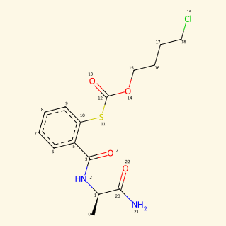 C[C@@H](NC(=O)c1ccccc1SC(=O)OCCCCCl)C(N)=O